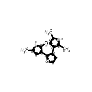 Cc1cc(-c2ccsc2-c2cc(C)sc2C)c(C)s1